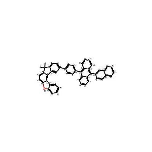 CC1(C)c2ccc(-c3ccc(-c4c5ccccc5c(-c5ccc6ccccc6c5)c5ccccc45)cc3)cc2-c2c1ccc1oc3ccccc3c21